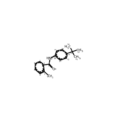 Cc1ccccc1C(=O)Nc1ccc(C(C)(C)C)cc1